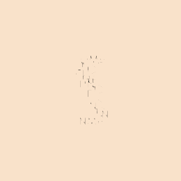 CNc1cc2ncc(-c3cccc(NS(=O)(=O)c4cc(Cl)cc(C(=O)OC)c4Cl)c3F)cc2cn1